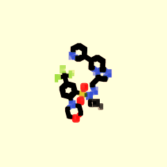 CN(/N=C/c1cnc2ccc(-c3cccnc3)cn12)S(=O)(=O)c1cc(C(F)(F)F)ccc1N1CCOCC1